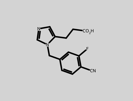 N#Cc1ccc(Cn2cncc2CCC(=O)O)cc1F